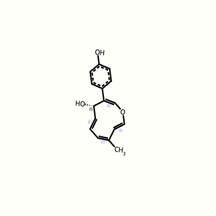 CC1=C/C=C/[C@H](O)/C(c2ccc(O)cc2)=C\O\C=C\1